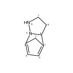 C1=C2CC(=C1)N1NCCC21